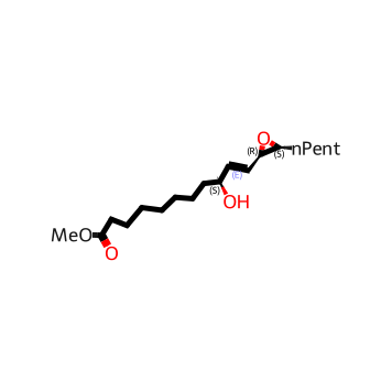 CCCCC[C@@H]1O[C@@H]1/C=C/[C@@H](O)CCCCCCCC(=O)OC